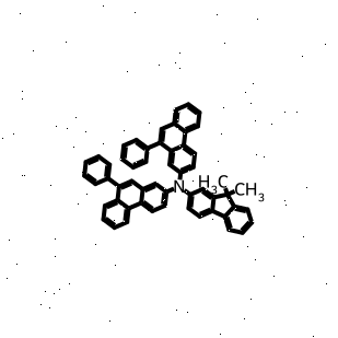 CC1(C)c2ccccc2-c2ccc(N(c3ccc4c(c3)cc(-c3ccccc3)c3ccccc34)c3ccc4c(c3)c(-c3ccccc3)cc3ccccc34)cc21